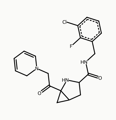 O=C(NCc1cccc(Cl)c1F)C1CC2CC2(C(=O)CN2C=CC=CC2)N1